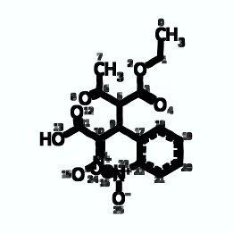 CCOC(=O)C(C(C)=O)C(C(C(=O)O)=[N+]([O-])O)c1ccccc1[N+](=O)[O-]